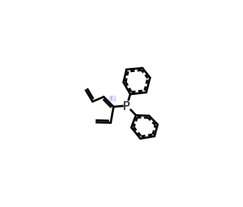 C=C/C=C(\C=C)P(c1ccccc1)c1ccccc1